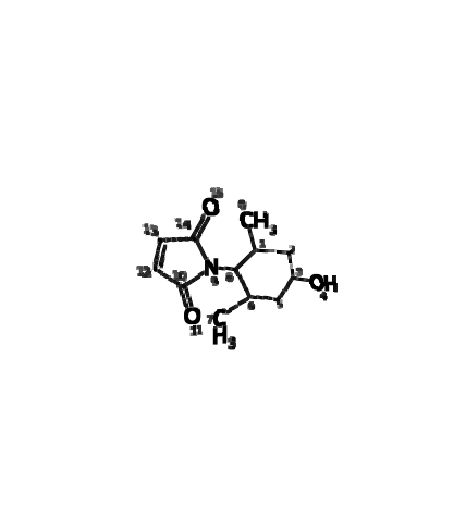 CC1CC(O)CC(C)C1N1C(=O)C=CC1=O